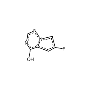 Oc1ncnn2cc(F)cc12